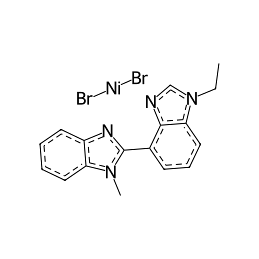 CCn1cnc2c(-c3nc4ccccc4n3C)cccc21.[Br][Ni][Br]